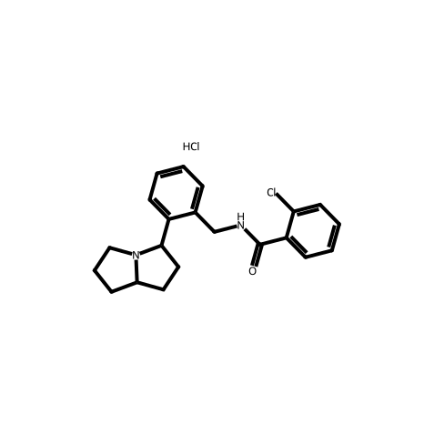 Cl.O=C(NCc1ccccc1C1CCC2CCCN21)c1ccccc1Cl